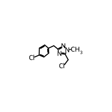 Cn1nc(Cc2ccc(Cl)cc2)nc1CCl